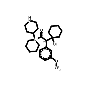 O=C([C@H](c1cccc(OC(F)(F)F)c1)C1(O)CCCCC1)[N+]1(C2CCNCC2)CCCCC1